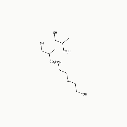 CC(CS)C(=O)O.CC(CS)C(=O)O.OCCOCCO